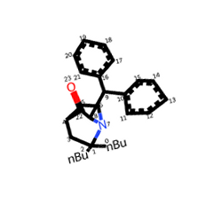 CCCCC1(CCCC)CC2CCN1C(C(c1ccccc1)c1ccccc1)C2=O